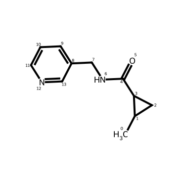 CC1CC1C(=O)NCc1cccnc1